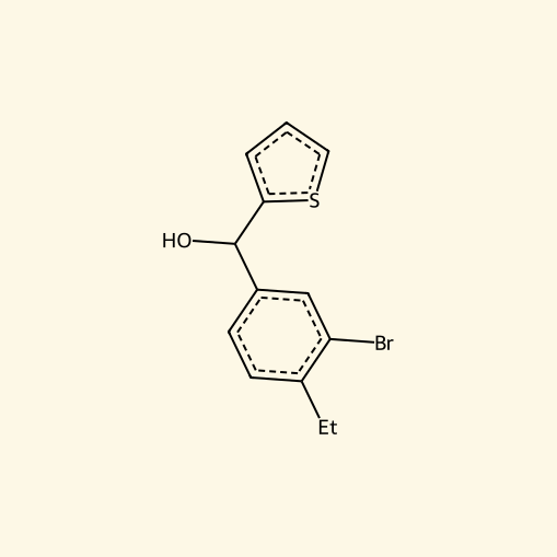 CCc1ccc(C(O)c2cccs2)cc1Br